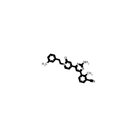 Cc1cccc(CCn2ccc(-c3cc(-c4cccc(C#N)c4C)nc(N)n3)cc2=O)c1